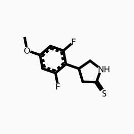 COc1cc(F)c(C2CNC(=S)C2)c(F)c1